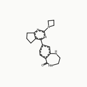 O=C1NCCNc2cc(-c3nc(N4CCC4)nc4c3CCC4)ccc21